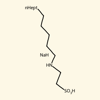 CCCCCCCCCCCCNCCS(=O)(=O)O.[NaH]